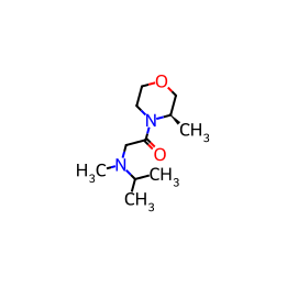 CC(C)N(C)CC(=O)N1CCOC[C@H]1C